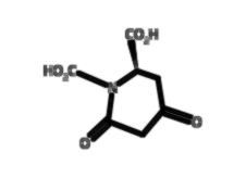 O=C1CC(=O)N(C(=O)O)[C@@H](C(=O)O)C1